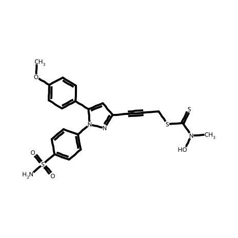 COc1ccc(-c2cc(C#CCSC(=S)N(C)O)nn2-c2ccc(S(N)(=O)=O)cc2)cc1